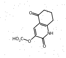 O=C(O)Oc1cc2c([nH]c1=O)CCCC2=O